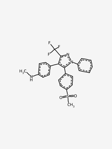 CNc1ccc(-c2c(C(F)(F)F)nn(-c3ccccc3)c2-c2ccc(S(C)(=O)=O)cc2)cc1